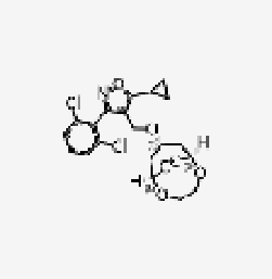 Clc1cccc(Cl)c1-c1noc(C2CC2)c1CO[C@H]1C[C@H]2CC[C@@H](C1)OCCO2